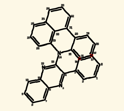 c1ccc(-c2nc3ccccc3nc2N2c3ccccc3-c3cccc4cccc2c34)cc1